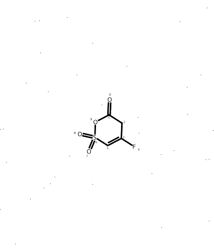 O=C1CC(F)=CS(=O)(=O)O1